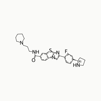 O=C(NCCCN1CCCCC1)c1ccc2c(c1)sc1nc(-c3ccc([C@H]4CCCN4)cc3F)cn12